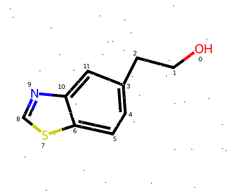 OCCc1ccc2scnc2c1